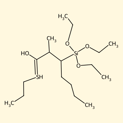 CCCCC(C(C)C(O)=[SH]CCC)[Si](OCC)(OCC)OCC